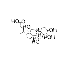 CC(CCC(=O)O)[C@H]1CC[C@H]2[C@@H]3[C@H](O)C[C@@H]4[C@H](O)[C@H](O)CC[C@]4(C)[C@H]3C[C@H](O)[C@]12C